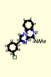 CNc1nc2ccccc2n2cc(-c3cccc(Cl)c3)nc12